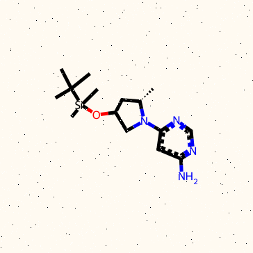 C[C@H]1CC(O[Si](C)(C)C(C)(C)C)CN1c1cc(N)ncn1